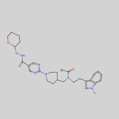 CCC(=O)N(CCc1cn(C)c2ccccc12)CC1CCN(c2ncc(C(=O)NOC3CCCCO3)cn2)CC1